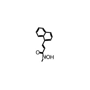 CN(O)C(=O)C=Cc1cccc2ccccc12